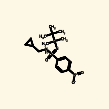 CC(C)(C)[Si](C)(C)N=S(=O)(NCC1CC1)c1ccc([N+](=O)[O-])cc1